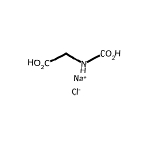 O=C(O)CNC(=O)O.[Cl-].[Na+]